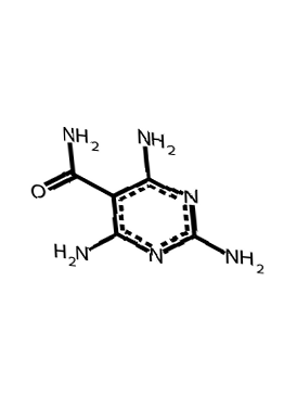 NC(=O)c1c(N)nc(N)nc1N